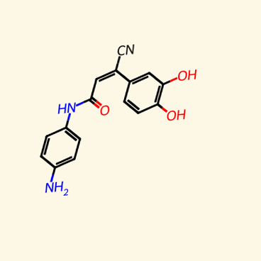 N#C/C(=C/C(=O)Nc1ccc(N)cc1)c1ccc(O)c(O)c1